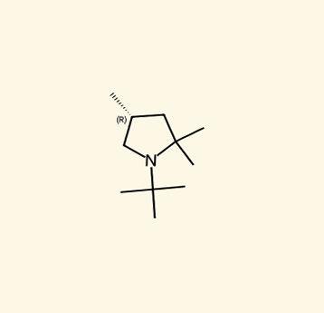 C[C@H]1CN(C(C)(C)C)C(C)(C)C1